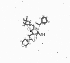 CC1(C)OB([C@H](CCc2ccccc2)NC(=O)C(CC(=O)N2CCOCC2)NC(=O)O)OC1(C)C